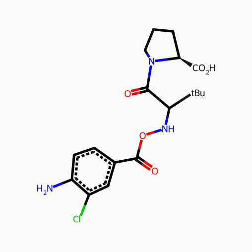 CC(C)(C)C(NOC(=O)c1ccc(N)c(Cl)c1)C(=O)N1CCC[C@H]1C(=O)O